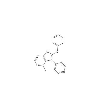 Cc1nccc2oc(Oc3ccccc3)c(-c3ccnnc3)c12